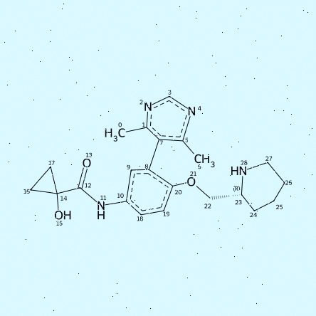 Cc1ncnc(C)c1-c1cc(NC(=O)C2(O)CC2)ccc1OC[C@H]1CCCCN1